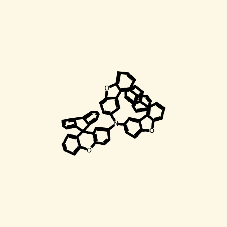 c1ccc(-c2cccc3oc4ccc(N(c5ccc6c(c5)C5(c7ccccc7O6)c6ccccc6-c6ccccc65)c5ccc6oc7cccc(-c8ccccc8)c7c6c5)cc4c23)cc1